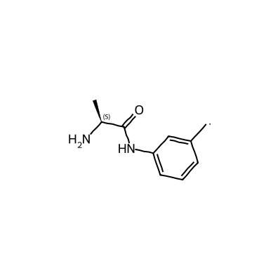 [CH2]c1cccc(NC(=O)[C@H](C)N)c1